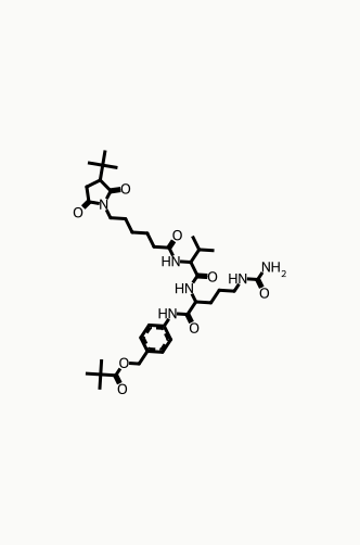 CC(C)C(NC(=O)CCCCCN1C(=O)CC(C(C)(C)C)C1=O)C(=O)NC(CCCNC(N)=O)C(=O)Nc1ccc(COC(=O)C(C)(C)C)cc1